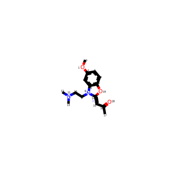 COc1ccc2c(c1)N(CCN(C)C)/C(=C/C(C)=O)O2